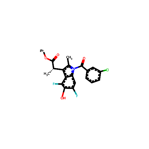 Cc1c([C@H](C)C(=O)OC(C)C)c2c(F)c(O)c(F)cc2n1C(=O)c1cccc(Cl)c1